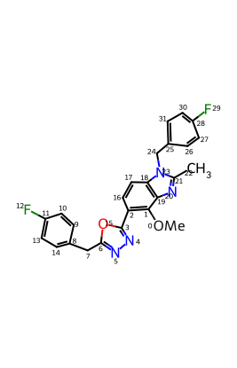 COc1c(-c2nnc(Cc3ccc(F)cc3)o2)ccc2c1nc(C)n2Cc1ccc(F)cc1